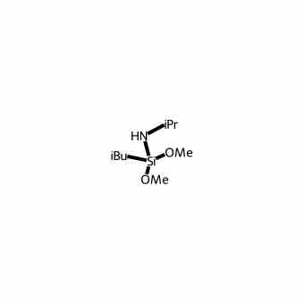 CCC(C)[Si](NC(C)C)(OC)OC